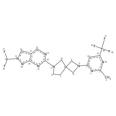 Cc1nc(N2CC3(CCN(c4ncc5cn(C(F)F)nc5n4)C3)C2)cc(C(F)(F)F)n1